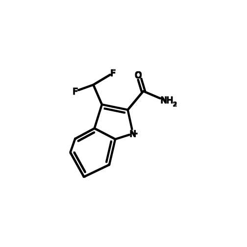 NC(=O)C1=C(C(F)F)c2ccccc2[N]1